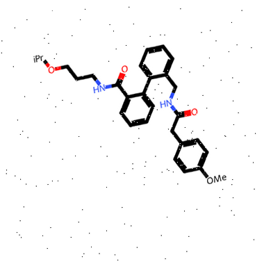 COc1ccc(CC(=O)NCc2ccccc2-c2ccccc2C(=O)NCCCOC(C)C)cc1